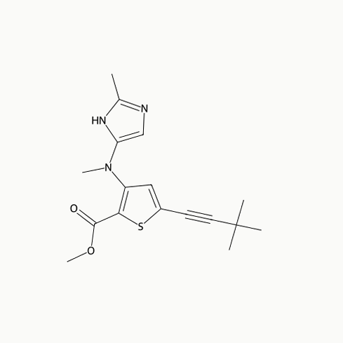 COC(=O)c1sc(C#CC(C)(C)C)cc1N(C)c1cnc(C)[nH]1